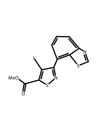 COC(=O)c1snc(-c2cccc3ncsc23)c1I